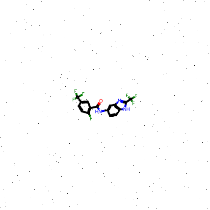 O=C(Nc1ccc2[nH]c(C(F)(F)F)nc2c1)c1cc(C(F)(F)F)ccc1F